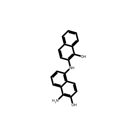 Nc1c(O)ccc2c(Nc3ccc4ccccc4c3O)cccc12